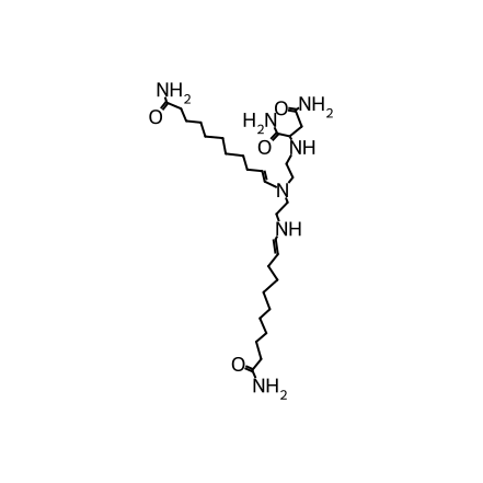 NC(=O)CCCCCCCCC=CNCCN(C=CCCCCCCCCC(N)=O)CCNC(CC(N)=O)C(N)=O